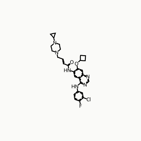 O=C(/C=C/CN1CCN(C2CC2)CC1)Nc1cc2c(Nc3ccc(F)c(Cl)c3)ncnc2cc1OC1CCC1